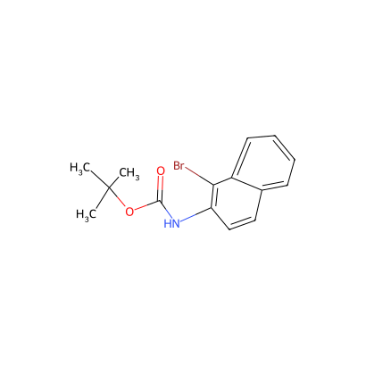 CC(C)(C)OC(=O)Nc1ccc2ccccc2c1Br